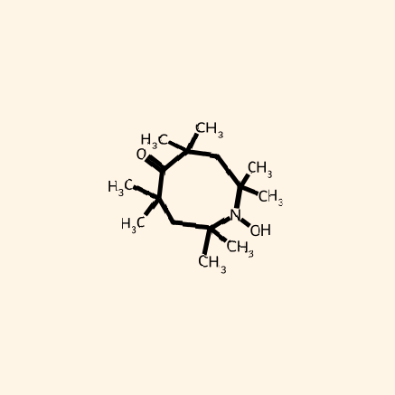 CC1(C)CC(C)(C)N(O)C(C)(C)CC(C)(C)C1=O